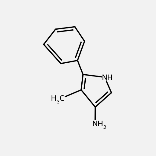 Cc1c(N)c[nH]c1-c1ccccc1